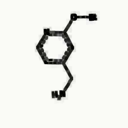 CCOc1cc(CN)ccn1